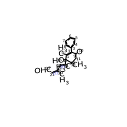 CC1=C(c2ccccc2)C(=O)CC(C)(C)C1(O)/C=C/C(C)=C\C=O